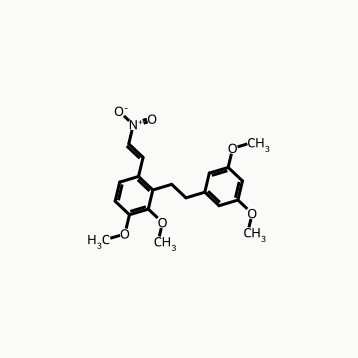 COc1cc(CCc2c(/C=C/[N+](=O)[O-])ccc(OC)c2OC)cc(OC)c1